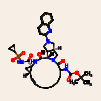 CC(C)(C)OC(=O)N[C@H]1CCCCC/C=C\[C@@H]2C[C@@]2(C(=O)NS(=O)(=O)C2CC2)NC(=O)[C@@H]2[C@H]3CN(c4ccc5ccccc5n4)C[C@H]3CN2C1=O